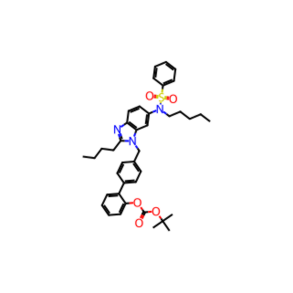 CCCCCN(c1ccc2nc(CCCC)n(Cc3ccc(-c4ccccc4OC(=O)OC(C)(C)C)cc3)c2c1)S(=O)(=O)c1ccccc1